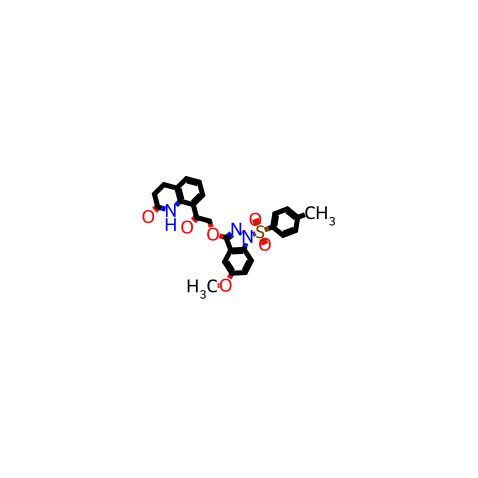 COc1ccc2c(c1)c(OCC(=O)c1cccc3c1NC(=O)CC3)nn2S(=O)(=O)c1ccc(C)cc1